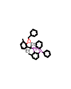 CCC(CC)(Pc1c(C)cccc1P(c1ccccc1)c1ccccc1)c1cccc(C)c1OCc1ccccc1